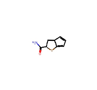 NC(=O)C1CC2C=CC=C2S1